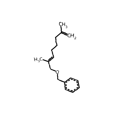 C=C(C)CCCC=C(C)COCc1ccccc1